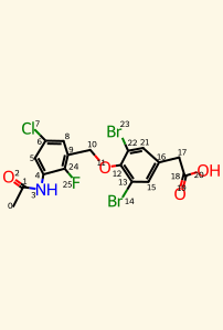 CC(=O)Nc1cc(Cl)cc(COc2c(Br)cc(CC(=O)O)cc2Br)c1F